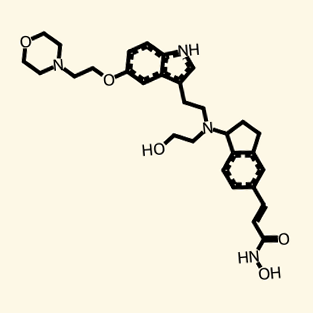 O=C(C=Cc1ccc2c(c1)CCC2N(CCO)CCc1c[nH]c2ccc(OCCN3CCOCC3)cc12)NO